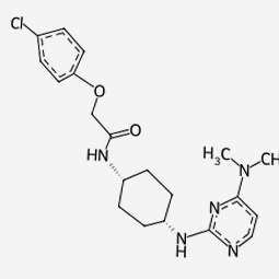 CN(C)c1ccnc(N[C@H]2CC[C@@H](NC(=O)COc3ccc(Cl)cc3)CC2)n1